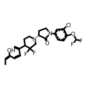 C=C(/C=C\C(O)=C/C)C1CCN([C@@H]2CCN(c3ccc(OC(F)F)c(Cl)c3)C2=O)CC1(F)F